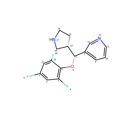 Fc1cc(F)c(O[C@@H](c2cccnc2)[C@H]2CCNC2)c(F)c1